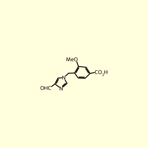 COc1cc(C(=O)O)ccc1Cn1cnc(C=O)c1